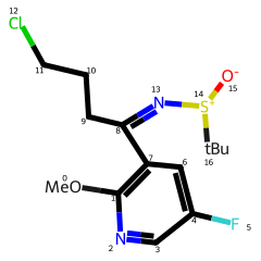 COc1ncc(F)cc1/C(CCCCl)=N\[S+]([O-])C(C)(C)C